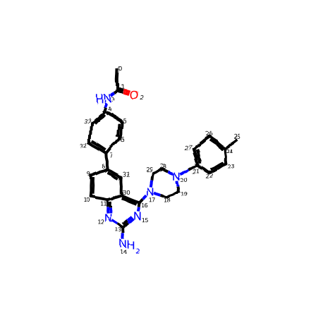 CC(=O)Nc1ccc(-c2ccc3nc(N)nc(N4CCN(c5ccc(C)cc5)CC4)c3c2)cc1